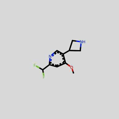 COc1cc(C(F)F)ncc1C1CNC1